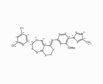 COc1cc(/C=C2\CCCN3CC[C@H](c4cc(F)cc(Cl)c4)ON=C23)ccc1-n1cnc(C)c1